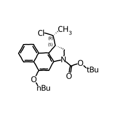 CCCCOc1cc2c(c3ccccc13)[C@H]([C@@H](C)Cl)CN2C(=O)OC(C)(C)C